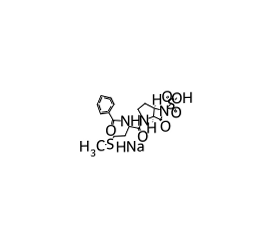 CSCCC(NC(=O)c1ccccc1)C(=O)N1CC[C@@H]2[C@H]1C(=O)N2S(=O)(=O)O.[NaH]